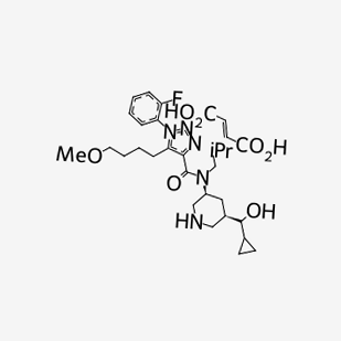 COCCCCc1c(C(=O)N(CC(C)C)[C@@H]2CNC[C@H](C(O)C3CC3)C2)nnn1-c1ccccc1F.O=C(O)/C=C/C(=O)O